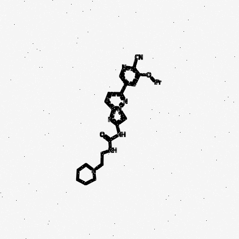 CC(C)Oc1cc(-c2ccc3nc(NC(=O)NCCN4CCCCC4)cn3n2)cnc1C#N